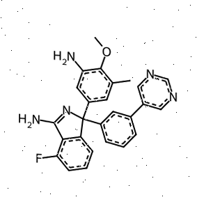 COc1c(C)cc(C2(c3cccc(-c4cncnc4)c3)N=C(N)c3c(F)cccc32)cc1N